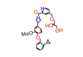 COc1cc(C2CN(C(=O)c3cc(COC[C@@H](O)CO)ccn3)C2)ccc1OCc1ccccc1C1CC1